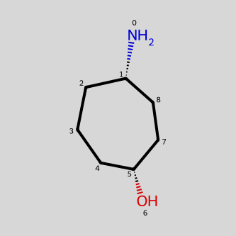 N[C@H]1CCC[C@@H](O)CC1